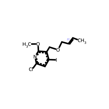 C/C=C/COCc1c(I)cc(Cl)nc1OC